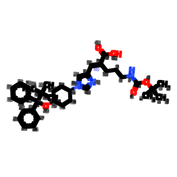 CC(C)(C)OC(=O)NCCC/C(=C\c1cn([C@H]2CC[C@@H](O[Si](c3ccccc3)(c3ccccc3)C(C)(C)C)CC2)cn1)C(=O)O